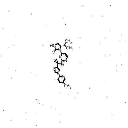 Cc1ccc(-n2cnc(C3(Nc4nccc(N5C(=O)NC[C@@H]5C(C)C)n4)CC3)c2)nc1